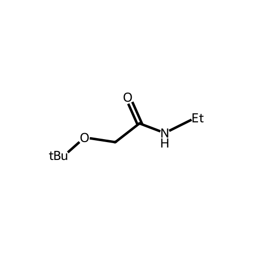 CCNC(=O)COC(C)(C)C